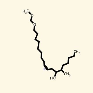 CCCCCC(C)C(O)C/C=C\CCCCCCCCOCOC